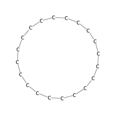 C1CCCCCCCCCCCCCCCCCCC1